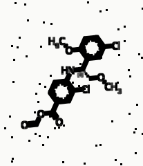 COC[C@H](Nc1ccc(C(=O)OC=O)cc1Cl)c1cc(Cl)ccc1OC